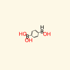 OBc1ccc(B(O)O)cc1